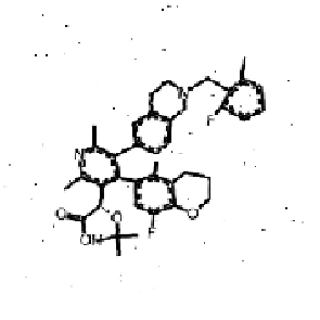 Cc1cccc(F)c1CN1CCc2cc(-c3c(C)nc(C)c([C@H](OC(C)(C)C)C(=O)O)c3-c3cc(F)c4c(c3C)CCCO4)ccc2C1